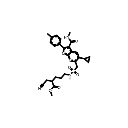 CNC(=O)c1c(-c2ccc(C)cc2)oc2nc(CS(=O)(=O)NCCCC(CC#N)C(=O)OC)c(C3CC3)cc12